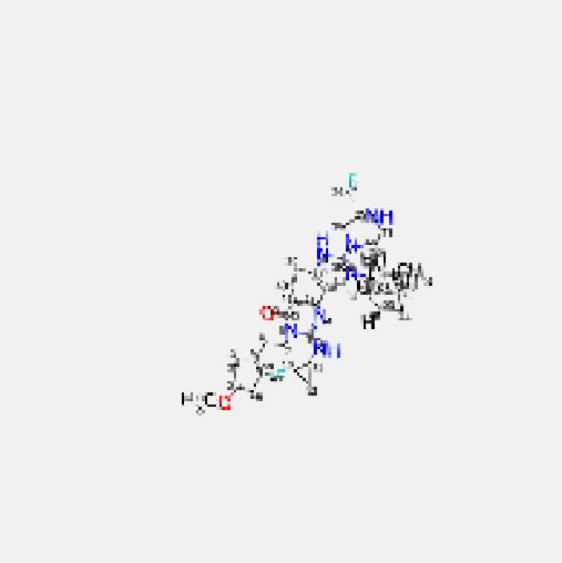 COc1ccc(CCn2c(NC3CC3)nc3cc(NC(=N[C@H]4C[C@H]5C[C@@H]([C@@H]4C)C5(C)C)N4CCN[C@@H](CF)C4)ccc3c2=O)c(F)c1